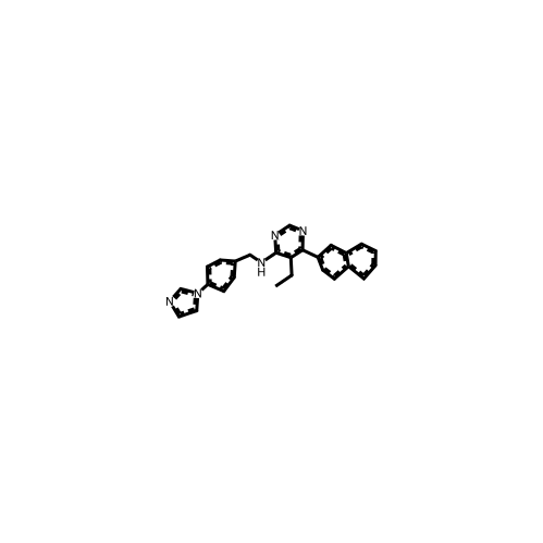 CCc1c(NCc2ccc(-n3ccnc3)cc2)ncnc1-c1ccc2ccccc2c1